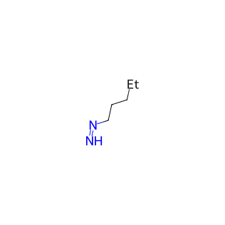 CCCCCN=N